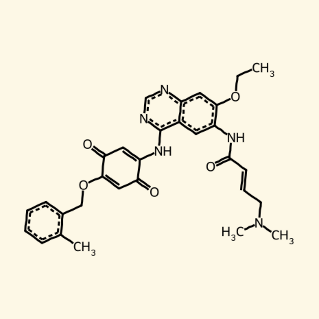 CCOc1cc2ncnc(NC3=CC(=O)C(OCc4ccccc4C)=CC3=O)c2cc1NC(=O)/C=C/CN(C)C